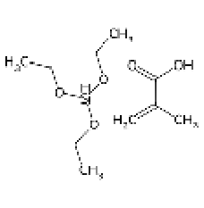 C=C(C)C(=O)O.CCO[SiH](OCC)OCC